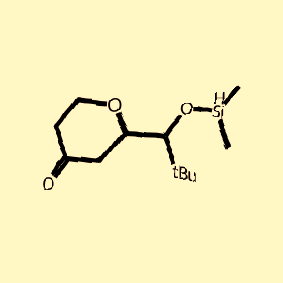 C[SiH](C)OC(C1CC(=O)CCO1)C(C)(C)C